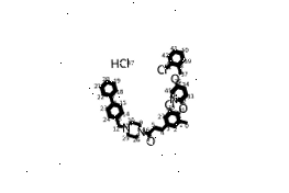 Cc1cc(C=CC(=O)N2CCN(Cc3ccc(-c4ccccc4)cc3)CC2)cc(Cl)c1Oc1ccc(OCc2ccccc2Cl)cn1.Cl